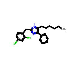 CCCCCCc1[nH]c(Cc2ccc(Cl)cc2Cl)nc1-c1ccccc1